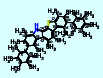 Bc1c(B)c(B)c(-c2c(B)c(B)c3[nH]c4c5sc6c(B)c(B)c(-c7c(B)c(B)c(B)c(B)c7B)c(B)c6c5c(B)c(B)c4c3c2B)c(B)c1B